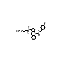 CCN(C(=O)CCC(=O)O)C1CCC2C1Cc1ccccc1N2C(=O)OCc1ccc(F)cc1